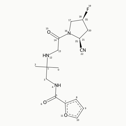 CC(C)(CNC(=O)c1ccco1)NCC(=O)N1C[C@@H](F)C[C@H]1C#N